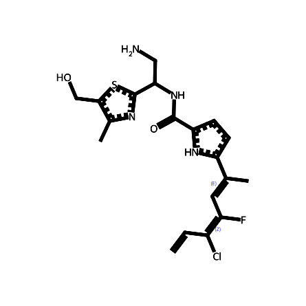 C=C/C(Cl)=C(F)\C=C(/C)c1ccc(C(=O)NC(CN)c2nc(C)c(CO)s2)[nH]1